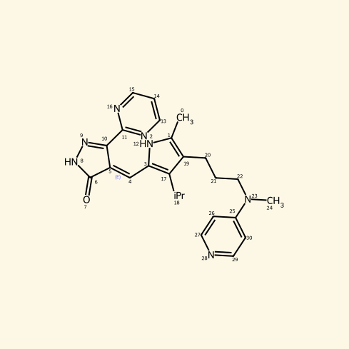 Cc1[nH]c(/C=C2/C(=O)NN=C2c2ncccn2)c(C(C)C)c1CCCN(C)c1ccncc1